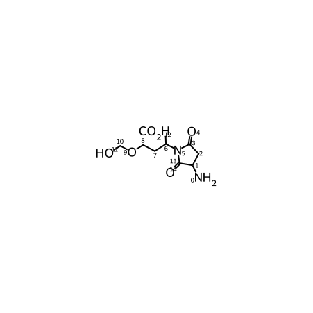 NC1CC(=O)N(C(CCOCO)C(=O)O)C1=O